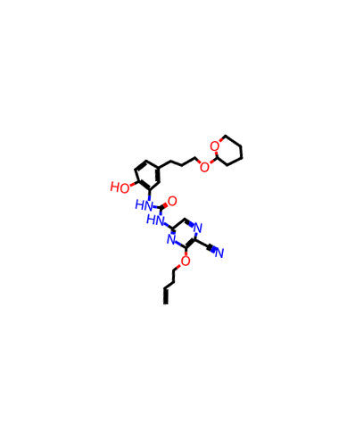 C=CCCOc1nc(NC(=O)Nc2cc(CCCOC3CCCCO3)ccc2O)cnc1C#N